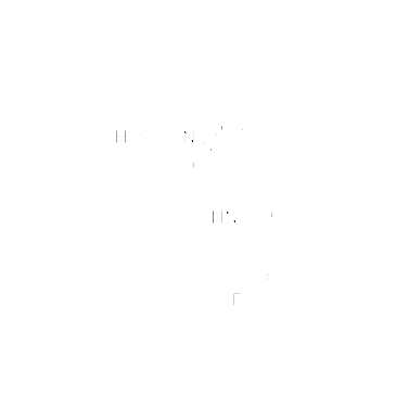 O=C(Nc1ccc(F)c(Cl)c1)c1ccc(Cl)c(S(=O)(=O)N2CC(O)C(F)C2)c1